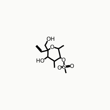 C=CC1(CO)OC(C)C(OS(C)(=O)=O)C(C)C1O